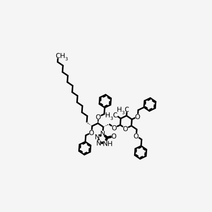 CCCCCCCCCCCCCC[C@@H](OCc1ccccc1)[C@@H](OCc1ccccc1)[C@H](COC1OC(COCc2ccccc2)C(OCc2ccccc2)C(C)C1C)n1nn[nH]c1=O